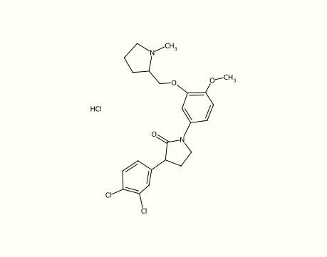 COc1ccc(N2CCC(c3ccc(Cl)c(Cl)c3)C2=O)cc1OCC1CCCN1C.Cl